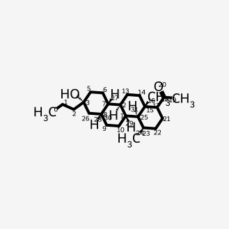 CCC[C@@]1(O)CC[C@H]2[C@H](CC[C@@H]3[C@@H]2CC[C@]2(C)C(C(C)=O)CC[C@@H](C)[C@@H]32)C1